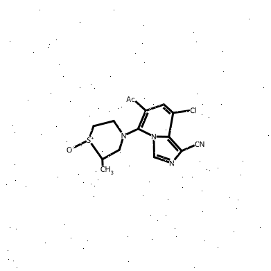 CC(=O)c1cc(Cl)c2c(C#N)ncn2c1N1CC[S+]([O-])C(C)C1